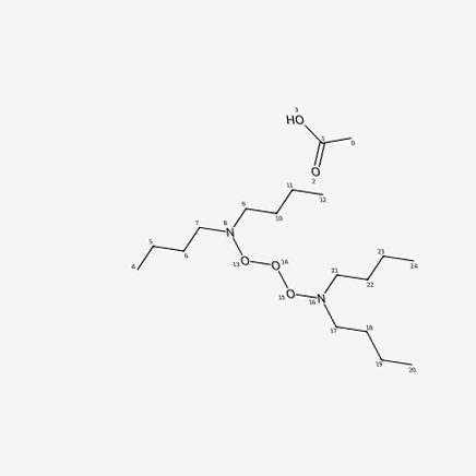 CC(=O)O.CCCCN(CCCC)OOON(CCCC)CCCC